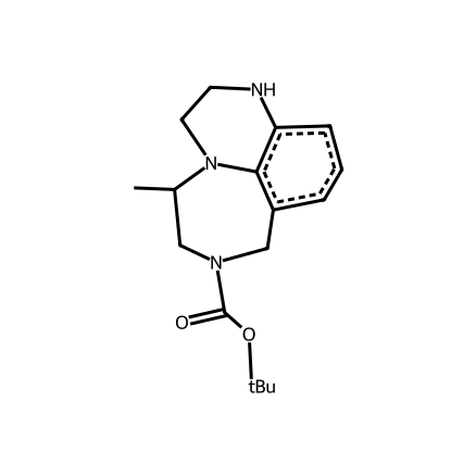 CC1CN(C(=O)OC(C)(C)C)Cc2cccc3c2N1CCN3